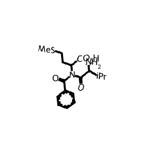 CSCCC(C(=O)O)N(C(=O)c1ccccc1)C(=O)C(N)C(C)C